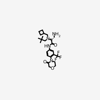 CC(C)(C)CN(CC1CCC1)[C@H](CN)C(=O)Nc1ccc(N2CCOCC2=O)c(C(F)(F)F)c1